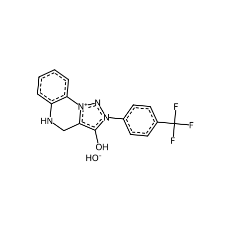 Oc1c2[n+](nn1-c1ccc(C(F)(F)F)cc1)-c1ccccc1NC2.[OH-]